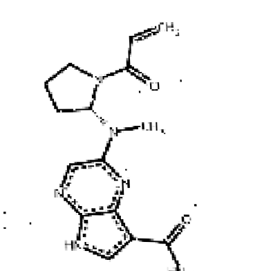 C=CC(=O)N1CCC[C@H]1N(C)c1cnc2[nH]cc(C(=O)NC(C)C)c2n1